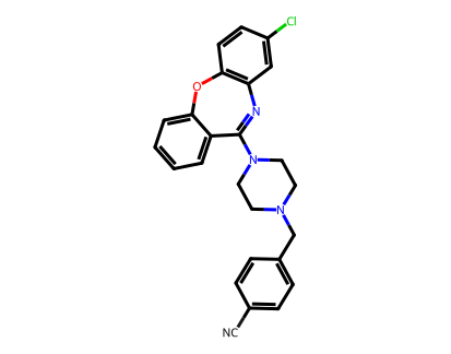 N#Cc1ccc(CN2CCN(C3=Nc4cc(Cl)ccc4Oc4ccccc43)CC2)cc1